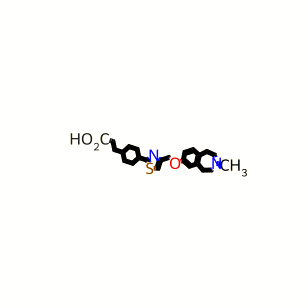 CN1CCc2ccc(OCc3csc(C4CCC(CCC(=O)O)CC4)n3)cc2CC1